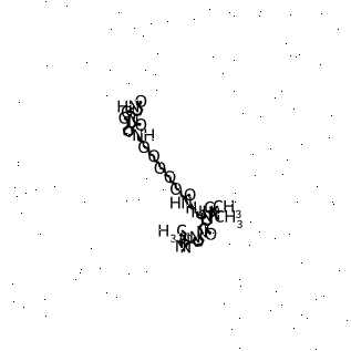 CCn1cnnc1-c1cccc(N2Cc3c(cc(N(C)C(C)C)nc3CNCCNC(=O)CCOCCOCCOCCOCCOCCNc3cccc4c3C(=O)N(C3CCC(=O)NC3=O)C4=O)C2=O)n1